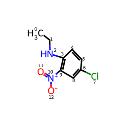 CCNc1ccc(Cl)cc1[N+](=O)[O-]